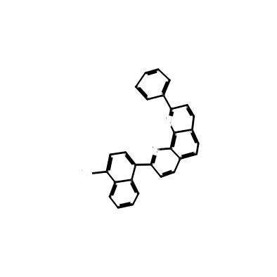 CC(=O)c1ccc(-c2ccc3ccc4ccc(-c5ccccc5)nc4c3n2)c2ccccc12